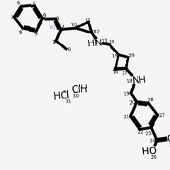 CC/C(=C\c1ccccc1)C1CC1NCC1CC(NCc2ccc(C(=O)O)cc2)C1.Cl.Cl